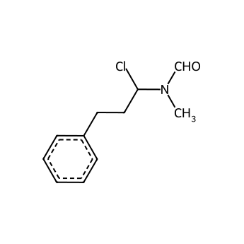 CN(C=O)C(Cl)CCc1ccccc1